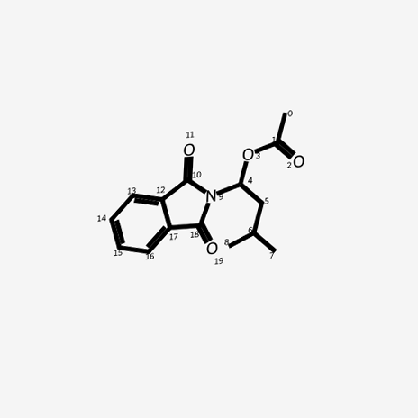 CC(=O)OC(CC(C)C)N1C(=O)c2ccccc2C1=O